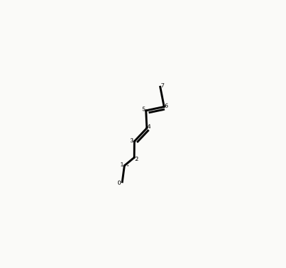 C[CH]CC=CC=CC